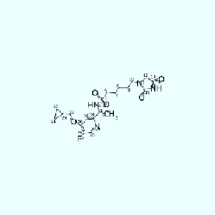 C[C@@H](NS(=O)(=O)CCCCCN1CC(=O)NC1=O)c1cc(OCC2CC2)c(F)cn1